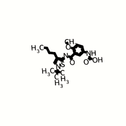 CCCCc1cn(C(C)(C)C)s/c1=N\C(=O)c1cc(NC(=O)O)ccc1OC